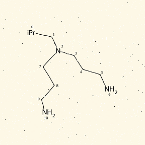 CC(C)CN(CCCN)CCCN